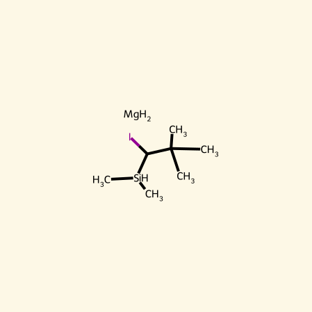 C[SiH](C)C(I)C(C)(C)C.[MgH2]